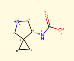 O=C(O)N[C@H]1CNCC12CC2